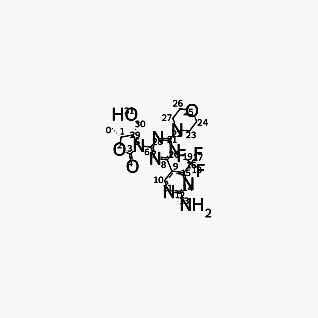 C[C@H]1OC(=O)N(c2nc(-c3cnc(N)nc3C(F)(F)F)nc(N3CCOCC3)n2)[C@H]1CO